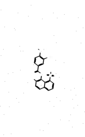 Cc1cc(C(=O)Nc2c(O)ccc3cccc(S(=O)(=O)O)c23)ccc1[N+](=O)[O-]